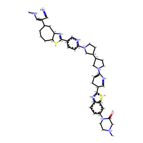 CN/C=C(\C=N)C1CCCC2SC(c3ccc(N4CCC(C5CCN(C6=CCC(c7nc8ccc(N9CCN(C)CC9=O)cc8s7)C=N6)C5)C4)nc3)=NC2C1